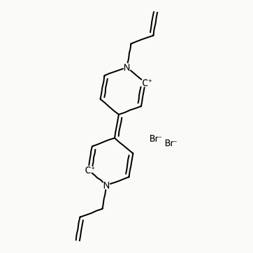 C=CCN1[C+]=CC(=C2C=[C+]N(CC=C)C=C2)C=C1.[Br-].[Br-]